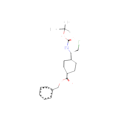 CC(C)(C)OC(=O)N[C@@H](CF)C1CCC(C(=O)OCc2ccccc2)CC1